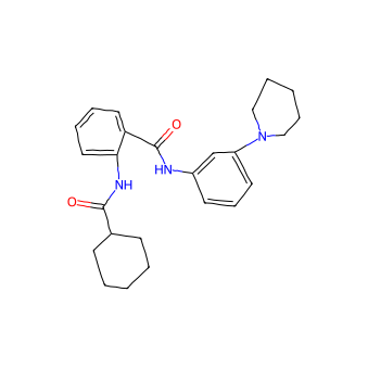 O=C(Nc1cccc(N2CCCCC2)c1)c1ccccc1NC(=O)C1CCCCC1